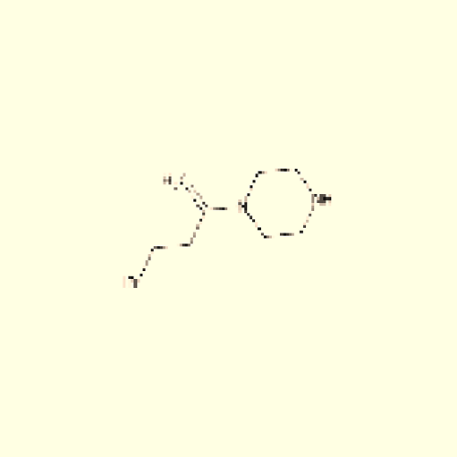 C=C(CCC(C)C)N1CCNCC1